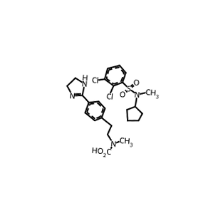 CN(C1CCCC1)S(=O)(=O)c1cccc(Cl)c1Cl.CN(CCc1ccc(C2=NCCN2)cc1)C(=O)O